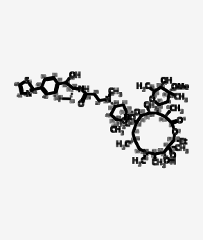 CC[C@H]1OC(=O)[C@H](C)C([C@H]2C[C@@](C)(OC)[C@@H](O)[C@H](C)O2)[C@H](C)[C@@H](O[C@H]2C[C@@H](N(C)CCC(=O)N[C@H](CF)[C@H](O)c3ccc(-c4nccs4)cc3)C[C@@H](C)O2)[C@](C)(O)C[C@@H](C)CN(C)[C@H](C)[C@@H](O)[C@]1(C)O